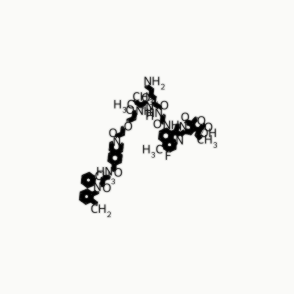 C=Cc1ccccc1CN(C(=O)CCNC(=O)C1CCC2(CC1)CCN(C(=O)CCOCCC(=O)N[C@H](C(=O)N[C@@H](CCCCN)C(=O)NCC(=O)N[C@H]1CCc3c(C)c(F)cc4nc5c(c1c34)Cn1c-5cc3c(c1=O)COC(=O)[C@]3(O)CC)C(C)C)CC2)c1ccccc1C